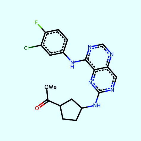 COC(=O)C1CCC(Nc2ncc3ncnc(Nc4ccc(F)c(Cl)c4)c3n2)C1